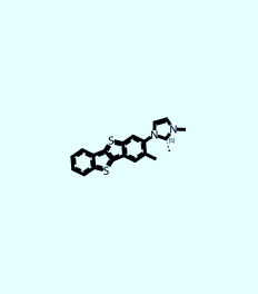 Cc1cc2c(cc1N1C=CN(C)[C@@H]1C)sc1c3ccccc3sc21